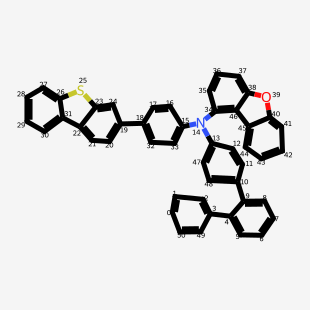 c1ccc(-c2ccccc2-c2ccc(N(c3ccc(-c4ccc5c(c4)sc4ccccc45)cc3)c3cccc4oc5ccccc5c34)cc2)cc1